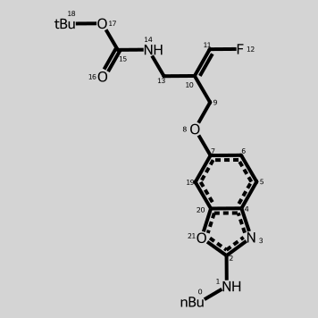 CCCCNc1nc2ccc(OC/C(=C\F)CNC(=O)OC(C)(C)C)cc2o1